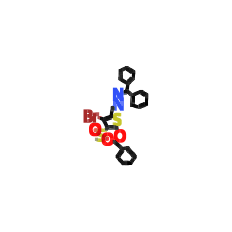 CS(=O)(=O)c1c(OCc2ccccc2)sc(C=NN=C(c2ccccc2)c2ccccc2)c1Br